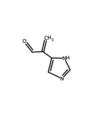 C=C(C=O)c1cnc[nH]1